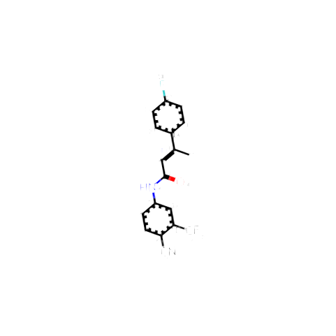 C/C(=C\C(=O)Nc1ccc(C#N)c(C(F)(F)F)c1)c1ccc(F)cc1